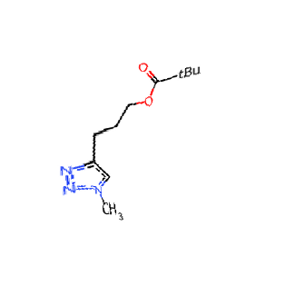 Cn1cc(CCCOC(=O)C(C)(C)C)nn1